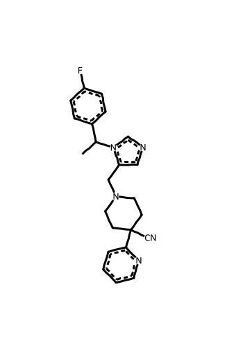 CC(c1ccc(F)cc1)n1cncc1CN1CCC(C#N)(c2ccccn2)CC1